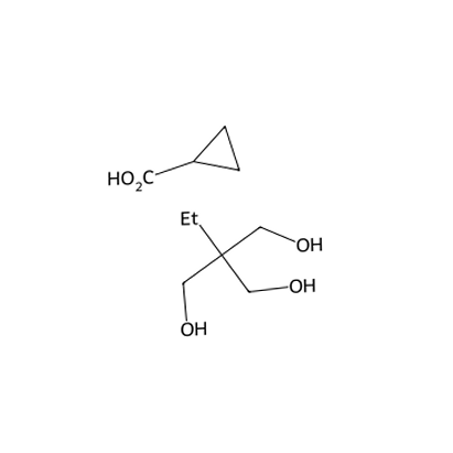 CCC(CO)(CO)CO.O=C(O)C1CC1